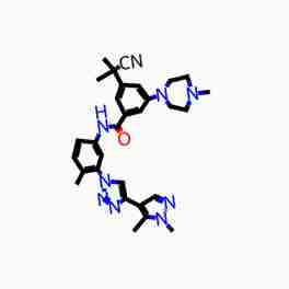 Cc1ccc(NC(=O)c2cc(N3CCN(C)CC3)cc(C(C)(C)C#N)c2)cc1-n1cc(-c2cnn(C)c2C)nn1